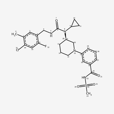 Cc1cc(CNC(=O)N(C2CC2)[C@@H]2CCCN(c3cc(C(=O)NS(C)(=O)=O)cnn3)C2)c(F)cc1Cl